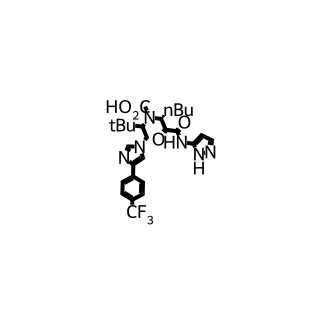 CCCC[C@@H](C(=O)C(=O)Nc1ccn[nH]1)N(C(=O)O)C(Cn1cnc(-c2ccc(C(F)(F)F)cc2)c1)C(C)(C)C